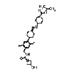 CC(C)OC(=O)N1CCC(ON=C2CCC(c3cc(F)c(CNC(=O)N4CC(O)C4)cc3F)CC2)CC1